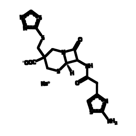 Nc1nc(CC(=O)NC2C(=O)N3CC(CSc4nncs4)(C(=O)[O-])CS[C@H]23)cs1.[Na+]